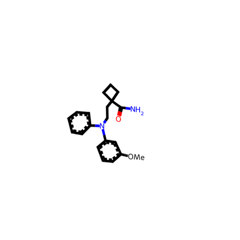 COc1cccc(N(CCC2(C(N)=O)CCC2)c2ccccc2)c1